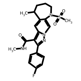 CNC(=O)c1c(-c2ccc(F)cc2)nn2cc3c(cc12)C(C)CCCN3S(C)(=O)=O